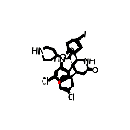 O=C1C[C@@H](C2C=CC=C(Cl)C2)[C@]2(C(=O)Nc3cc(Cl)ccc32)[C@@H](c2cc(I)ccc2OC2CCNCC2)N1